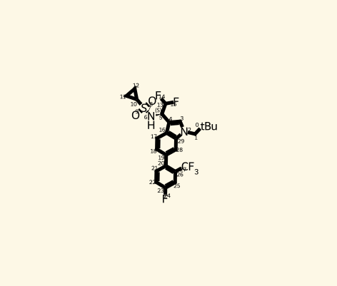 CC(C)(C)Cn1cc([C@H](NS(=O)(=O)C2CC2)C(F)F)c2ccc(-c3ccc(F)cc3C(F)(F)F)cc21